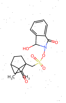 CC1(C)C2CCC1(CS(=O)(=O)ON1C(=O)c3ccccc3C1O)C(=O)C2